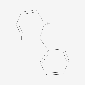 C1=CN[C](c2ccccc2)N=C1